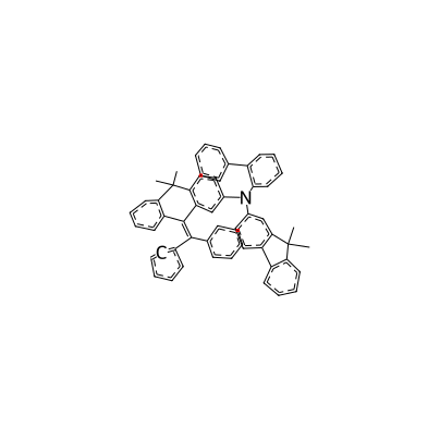 CC1(C)c2ccccc2C(=C(c2ccccc2)c2ccccc2)c2cc(N(c3ccc4c(c3)C(C)(C)c3ccccc3-4)c3ccccc3-c3ccccc3)ccc21